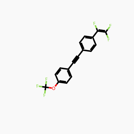 FC(F)=C(F)c1ccc(C#Cc2ccc(OC(F)(F)F)cc2)cc1